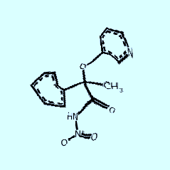 CC(Oc1cccnc1)(C(=O)N[N+](=O)[O-])c1ccccc1